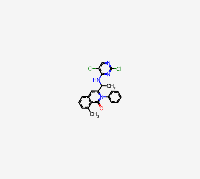 Cc1cccc2cc(C(C)Nc3nc(Cl)ncc3Cl)n(-c3ccccc3)c(=O)c12